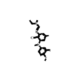 CCN(C)C=Nc1cc(C)cc(N(C)c2ccc(OC)c(F)c2)c1Cl